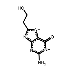 Nc1nc2nc(CCO)[nH]c2c(=O)[nH]1